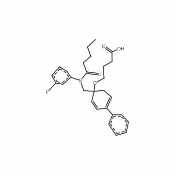 CCCCC(=O)N(CC1(OCCCC(=O)O)C=CC(c2ccccc2)=CC1)c1cccc(F)c1